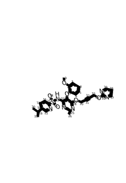 COc1ccccc1Oc1c(NS(=O)(=O)c2ccc(C(C)C)cn2)nc(C)nc1OCC#CCOc1ncccn1